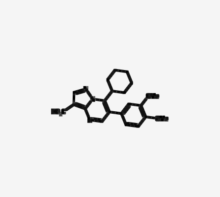 COc1ccc(-c2cnc3c(C(=O)O)cnn3c2C2CCCCC2)cc1OC